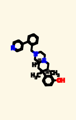 C[C@H]1CN2CCN(Cc3ccccc3-c3ccncc3)C[C@H]2C[C@@]1(C)c1cccc(O)c1